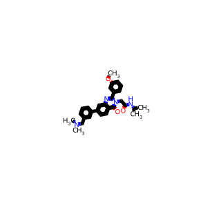 COc1cccc(-c2nc3cc(-c4cccc(CN(C)C)c4)ccc3c(=O)n2CC(=O)NC(C)C)c1